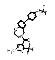 Cn1cc(C(=O)N2CCOc3ccc(-c4ccc(OC(F)(F)F)cc4)cc3C2)c(C(F)(F)F)n1